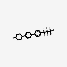 CC1CCC(c2ccc(-c3ccc(C(F)(F)C(F)(F)C(F)(F)F)cc3)cc2)CC1